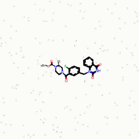 CC[C@H]1CN(C(=O)c2cc(Cn3c(=O)[nH]c(=O)c4ccccc43)ccc2F)CCN1C(=O)OC(C)(C)C